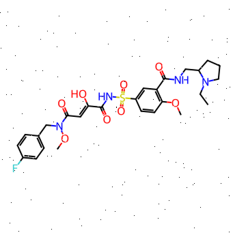 CCN1CCCC1CNC(=O)c1cc(S(=O)(=O)NC(=O)/C(O)=C/C(=O)N(Cc2ccc(F)cc2)OC)ccc1OC